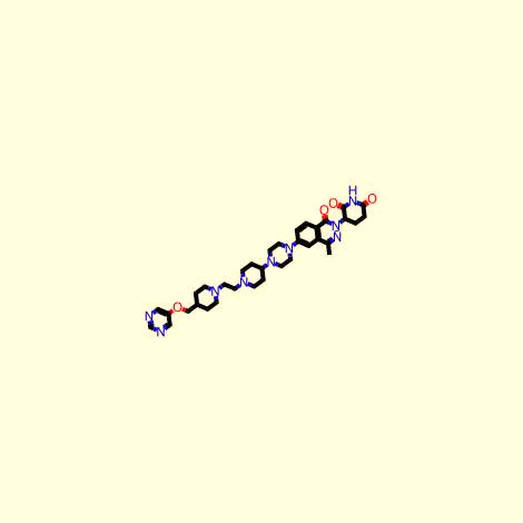 Cc1nn(C2CCC(=O)NC2=O)c(=O)c2ccc(N3CCN(C4CCN(CCN5CCC(COc6cncnc6)CC5)CC4)CC3)cc12